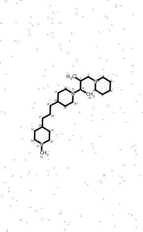 CC(CN1CCCCC1)C(C)N1CCC(CCCC2CCN(C)CC2)CC1